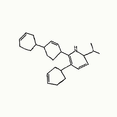 CC(C)C1C=CC(C2CC=CCC2)=C(C2C=CC(C3CC=CCC3)CC2)N1